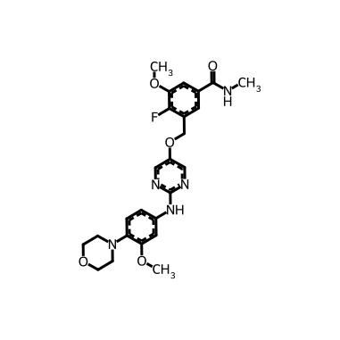 CNC(=O)c1cc(COc2cnc(Nc3ccc(N4CCOCC4)c(OC)c3)nc2)c(F)c(OC)c1